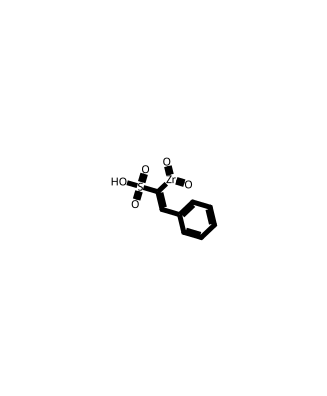 [O]=[Zr](=[O])[C](=Cc1ccccc1)S(=O)(=O)O